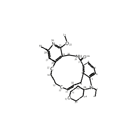 CCN(c1cccc2c1C/C=C/CCCCc1cc(C)nc(OC)c1CNC2=O)C1CCOCC1